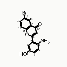 Nc1ccc(O)cc1-c1cc(=O)c2cc(Br)ccc2o1